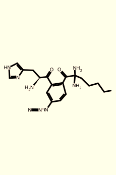 CCCCCC(N)(N)C(=O)c1ccc(N=[N+]=[N-])cc1C(=O)[C@@H](N)Cc1c[nH]cn1